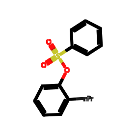 CCCc1ccccc1OS(=O)(=O)c1ccccc1